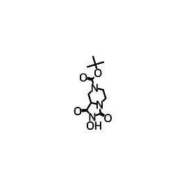 CC(C)(C)OC(=O)N1CCN2C(=O)N(O)C(=O)C2C1